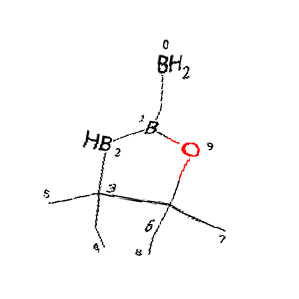 BB1BC(C)(C)C(C)(C)O1